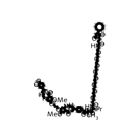 COc1cc2c(cc1OCCCOc1cc3c(cc1OC)C(=O)N1C=C(c4ccc5c(c4)OCO5)C[C@H]1C=N3)N=C[C@@H]1CC(c3ccc(NC(=O)[C@H](C)NC(=O)C(NC(=O)CCOCCOCCOCCOCCOCCOCCOCCOCCNC(=O)CCN4C(=O)CC(C5CCCCCCCC5)C4=O)C(C)C)cc3)=CN1C2=O